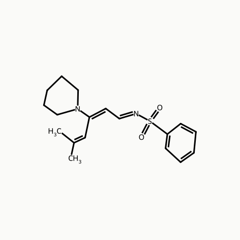 CC(C)=C/C(=C\C=N\S(=O)(=O)c1ccccc1)N1CCCCC1